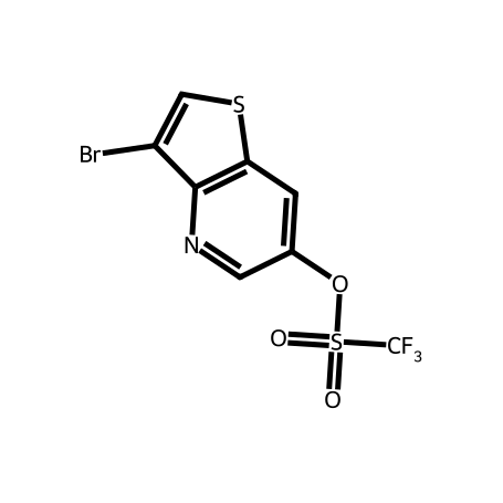 O=S(=O)(Oc1cnc2c(Br)csc2c1)C(F)(F)F